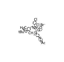 CC(=O)N1CCN(c2ccc(OCc3c[n+](Cc4cc(C)c(OC(=O)C(C)(C)C)c(C)c4)c(-c4ccc(Cl)cc4Cl)n3CC3OCCCO3)cc2)CC1.[Br-]